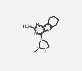 C[C@H]1CN(c2nc(N)nc3c4c(oc23)CCCC4)CCN1